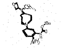 CN(C1CCN(c2ccc(N)c(NC(=O)OC(C)(C)C)c2)CC1)C1COC1